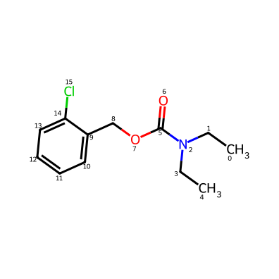 CCN(CC)C(=O)OCc1ccccc1Cl